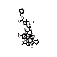 COc1ccc(-c2cnc([C@@H]3CCCN3C(=O)[C@]34CCC(C(C)C)[C@@H]3[C@H]3CC[C@@H]5[C@]6(C)CC[C@H]([C@@]7(C(=O)O)C[C@@H](C(=O)OCc8ccccc8)C7(C)C)C(C)(C)[C@H]6CC[C@@]5(C)[C@]3(C)CC4)[nH]2)cc1